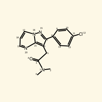 CN(C)C(=O)Cc1c(-c2ccc(Cl)cc2)nn2cccnc12